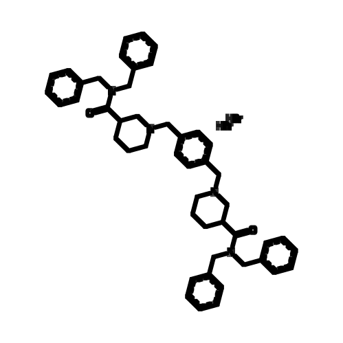 Br.Br.O=C(C1CCCN(Cc2ccc(CN3CCCC(C(=O)N(Cc4ccccc4)Cc4ccccc4)C3)cc2)C1)N(Cc1ccccc1)Cc1ccccc1